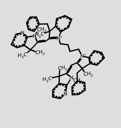 CN1C(=CC2=[N+](CCCC[N+]3=C(C=C4N(C)c5ncccc5C4(C)C)C(C)(Cc4ccccc4)c4ccccc43)c3ccccc3C2(C)Cc2ccccc2)C(C)(C)c2cccnc21